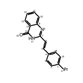 CC(C)c1ccc(/C=C/c2nc3ccccc3c(=O)[nH]2)cc1